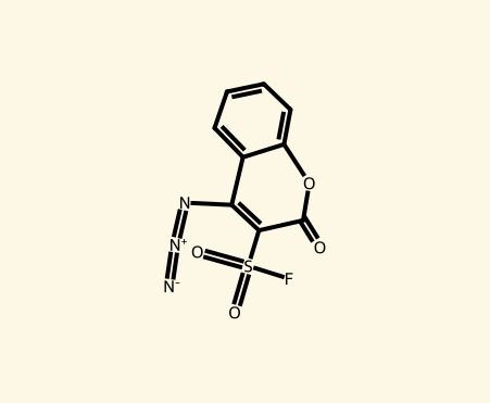 [N-]=[N+]=Nc1c(S(=O)(=O)F)c(=O)oc2ccccc12